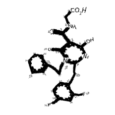 O=C(O)CNC(=O)c1c(O)nc(Cc2ccc(F)cc2F)n(Cc2ccccc2)c1=O